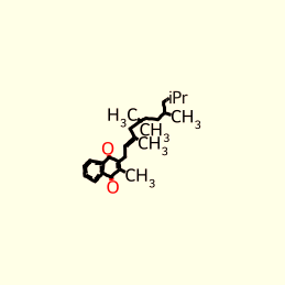 CC1=C(C/C=C(\C)CC(C)(C)CCC(C)CC(C)C)C(=O)c2ccccc2C1=O